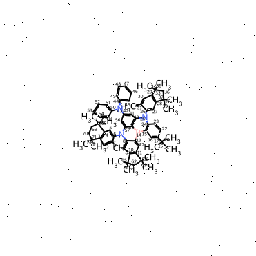 Cc1cc2c(cc1N1c3cc4c(cc3B3c5cc(C(C)(C)C)ccc5N(c5cc6c(cc5C)C(C)(C)CC6(C)C)c5cc(N(c6ccccc6)c6ccccc6)cc1c53)C(C)(C)CC4(C)C)C(C)(C)CCC2(C)C